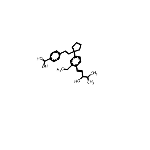 CCc1cc(C2(CCc3ccc(C(O)O)cc3)CCCC2)ccc1C=CC(O)C(C)C